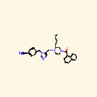 CCCC[C@H]1CN(C(=O)c2cccc3ccccc23)CCN1Cc1cncn1Cc1ccc(C#N)cc1